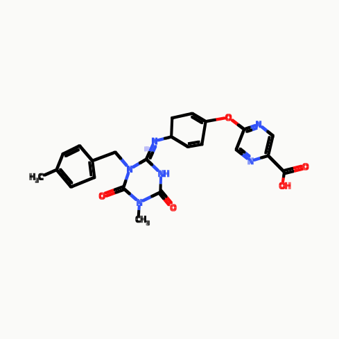 Cc1ccc(Cn2c(=O)n(C)c(=O)[nH]/c2=N\C2C=CC(Oc3cnc(C(=O)O)cn3)=CC2)cc1